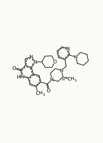 Cc1cc2[nH]c(=O)c3cnn(C4CCOCC4)c3c2cc1C(=O)N1CCN(Cc2cccnc2N2CCCCC2)[C@@H](C)C1